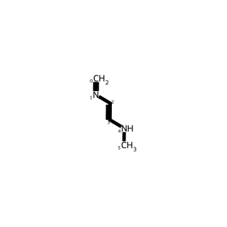 C=N/C=C/NC